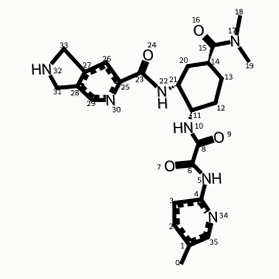 Cc1ccc(NC(=O)C(=O)N[C@H]2CC[C@H](C(=O)N(C)C)C[C@H]2NC(=O)c2cc3c(cn2)CNC3)nc1